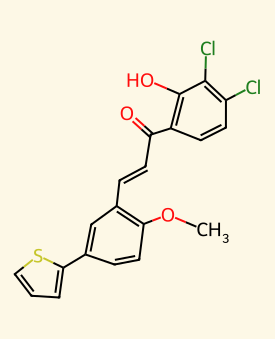 COc1ccc(-c2cccs2)cc1/C=C/C(=O)c1ccc(Cl)c(Cl)c1O